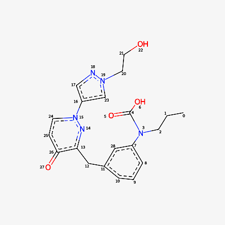 CCCN(C(=O)O)c1cccc(Cc2nn(-c3cnn(CCO)c3)ccc2=O)c1